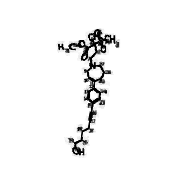 COC(=O)C(C)(CCN1CC=C(c2ccc(C#CCCCCO)cc2)CCC1)S(C)(=O)=O